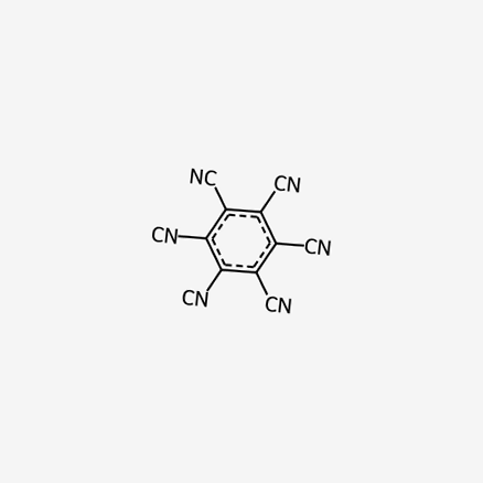 [C-]#[N+]c1c(C#N)c(C#N)c(C#N)c(C#N)c1[N+]#[C-]